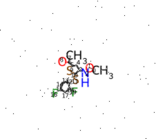 CONc1cc(C(C)=O)sc1Sc1ccc(F)cc1F